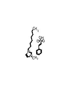 CCCCCCCCN1C=CN(C)C1.O=S(=O)(O)C=Cc1ccccc1